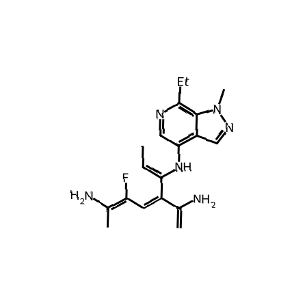 C=C(N)C(=C/C(F)=C(\C)N)/C(=C/C)Nc1cnc(CC)c2c1cnn2C